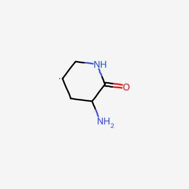 NC1C[CH]CNC1=O